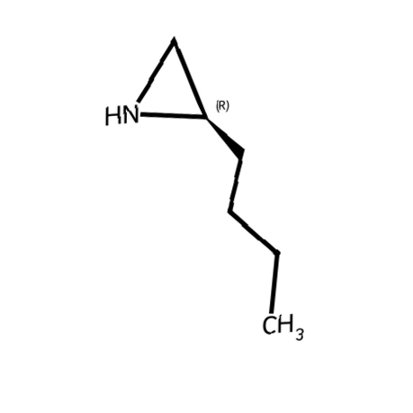 CCCC[C@@H]1CN1